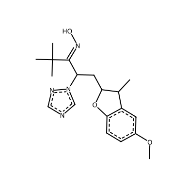 COc1ccc2c(c1)C(C)C(CC(C(=NO)C(C)(C)C)n1cncn1)O2